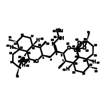 C[C@H]1[C@@H](/C(C[C@H]2O[C@@H]3O[C@]4(C)CC[C@H]5[C@H](C)CC[C@@H]([C@H]2C)[C@@]35OO4)=N\NC(C)(C)C)O[C@@H]2O[C@]3(C)CC[C@H]4[C@H](C)CC[C@@H]1[C@@]24OO3